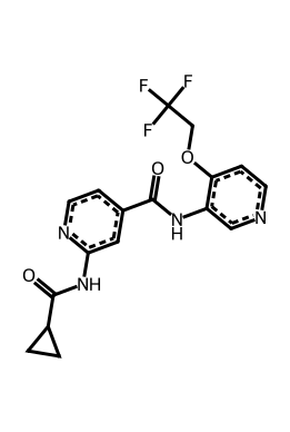 O=C(Nc1cnccc1OCC(F)(F)F)c1ccnc(NC(=O)C2CC2)c1